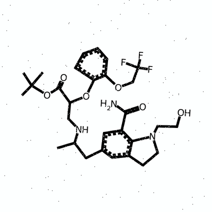 CC(Cc1cc2c(c(C(N)=O)c1)N(CCO)CC2)NCC(Oc1ccccc1OCC(F)(F)F)C(=O)OC(C)(C)C